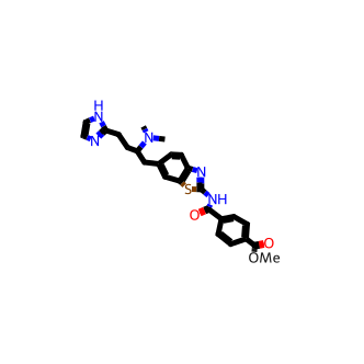 COC(=O)c1ccc(C(=O)Nc2nc3ccc(CC(CCc4ncc[nH]4)N(C)C)cc3s2)cc1